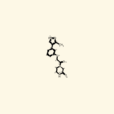 Cc1n[nH]cc1-c1c[c]cc(OCC(=O)N2CCNC(=O)C2)c1